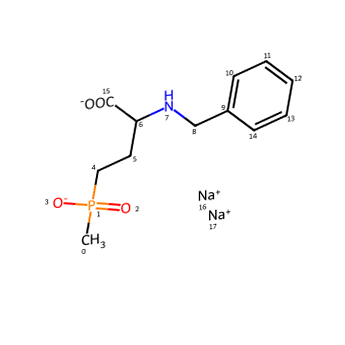 CP(=O)([O-])CCC(NCc1ccccc1)C(=O)[O-].[Na+].[Na+]